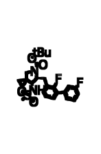 CC(C)(C)OC(=O)N1CC2(CC2)[C@H](NS(C)(=O)=O)[C@@H]1Cc1cccc(-c2cccc(F)c2)c1F